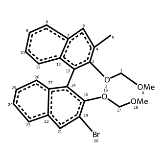 COCOc1c(C)cc2ccccc2c1-c1c(OCOC)c(Br)cc2ccccc12